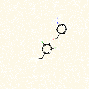 CC(C)Nc1cccc(COc2c(Cl)cc(CC(=O)O)cc2Cl)c1